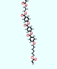 C=CC(=O)OCCCCCCOc1ccc(C(=O)Oc2ccc(C(=O)Oc3ccc(C(=O)OCCCOC(=O)C=C)cc3)cc2)cc1